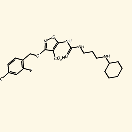 Cc1ccc(COc2nsc(NC(=O)NCCCNC3CCCCC3)c2C(=O)O)c(F)c1